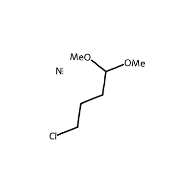 COC(CCCCl)OC.[N]